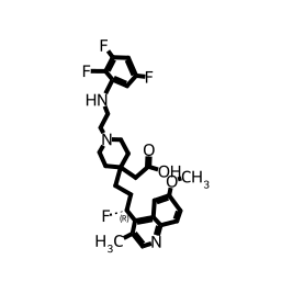 COc1ccc2ncc(C)c([C@H](F)CCC3(CC(=O)O)CCN(CCNc4cc(F)cc(F)c4F)CC3)c2c1